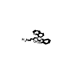 NCCC(O)CN(Cc1nc2ccccc2[nH]1)C1CCCc2cccnc21